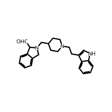 O=CC1c2ccccc2CN1CC1CCN(CCc2c[nH]c3ccccc23)CC1